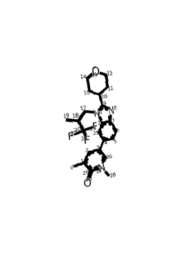 Cc1cc(-c2ccc3nc(C4CCOCC4)n(CC(C)C(F)(F)F)c3c2)cn(C)c1=O